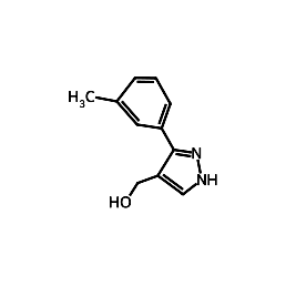 Cc1cccc(-c2n[nH]cc2CO)c1